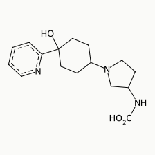 O=C(O)NC1CCN(C2CCC(O)(c3ccccn3)CC2)C1